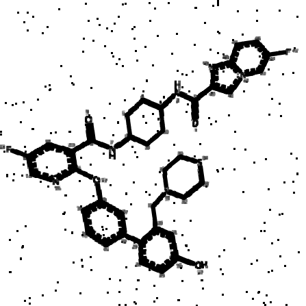 O=C(NC1CCC(NC(=O)c2cc(F)cnc2Oc2cccc(-c3ccc(O)cc3CN3CCSCC3)c2)CC1)c1cn2cc(F)ccc2n1